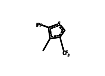 Cc1c(C(F)(F)F)csc1C(C)C